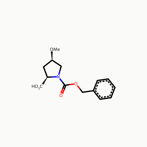 CO[C@@H]1C[C@H](C(=O)O)N(C(=O)OCc2ccccc2)C1